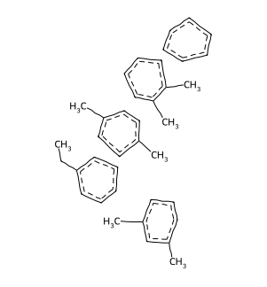 CCc1ccccc1.Cc1ccc(C)cc1.Cc1cccc(C)c1.Cc1ccccc1C.c1ccccc1